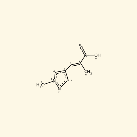 C/C(=C\c1cn(C)nn1)C(=O)O